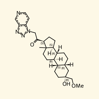 COC[C@@]1(O)CC[C@H]2[C@H](CC[C@@H]3[C@@H]2CCC2(C)[C@@H](C(=O)Cn4nnc5cnccc54)CC[C@@H]32)C1